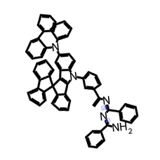 C=C(/N=C(\N=C(/N)c1ccccc1)c1ccccc1)c1cccc(-n2c3c(c4cc(N(c5ccccc5)c5ccccc5-c5ccccc5)ccc42)C2(c4ccccc4-c4ccccc42)c2ccccc2-3)c1